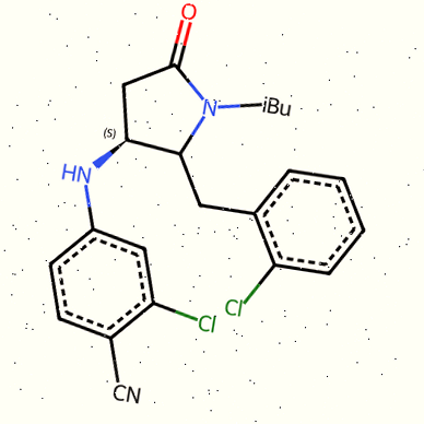 CCC(C)N1C(=O)C[C@H](Nc2ccc(C#N)c(Cl)c2)C1Cc1ccccc1Cl